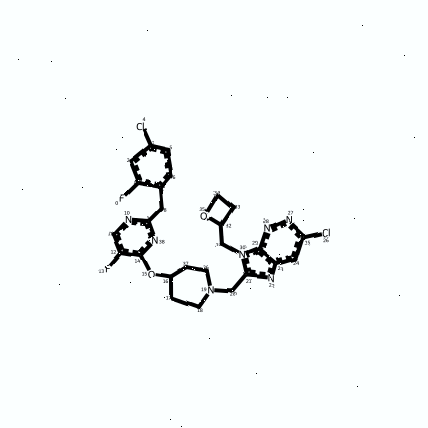 Fc1cc(Cl)ccc1Cc1ncc(F)c(OC2CCN(Cc3nc4cc(Cl)nnc4n3CC3CCO3)CC2)n1